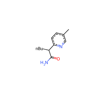 CCCCC(C(N)=O)c1ccc(C)cn1